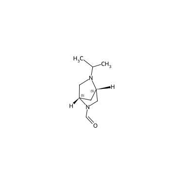 CC(C)N1C[C@@H]2C[C@H]1CN2C=O